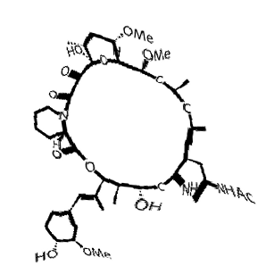 C=C(C[C@@H]1/C=C(\C)C[C@H](C)C[C@H](OC)[C@H]2O[C@@](O)(C(=O)C(=O)N3CCCC[C@H]3C(=O)O[C@H](/C(C)=C/[C@@H]3CC[C@@H](O)[C@H](OC)C3)[C@H](C)[C@@H](O)CC1=N)[C@H](C)C[C@@H]2OC)NC(C)=O